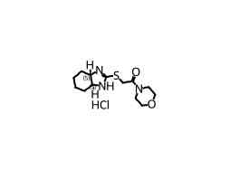 Cl.O=C(CSC1=N[C@H]2CCCC[C@@H]2N1)N1CCOCC1